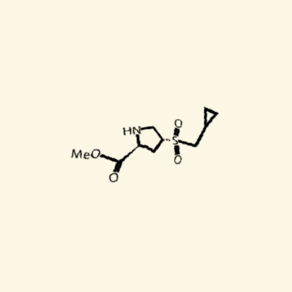 COC(=O)[C@@H]1C[C@@H](S(=O)(=O)CC2CC2)CN1